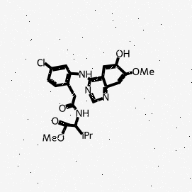 COC(=O)C(NC(=O)Cc1ccc(Cl)cc1Nc1ncnc2cc(OC)c(O)cc12)C(C)C